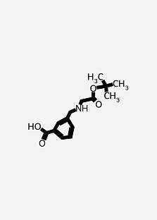 CC(C)(C)OC(=O)CNCc1cccc(C(=O)O)c1